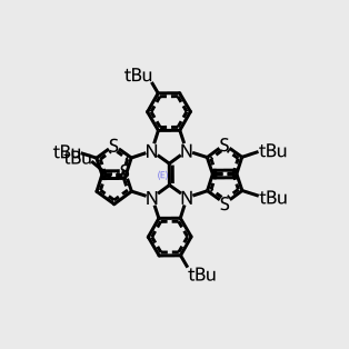 CC(C)(C)c1ccc2c(c1)N(c1ccc(C(C)(C)C)s1)/C(=C1\N(c3ccc(C(C)(C)C)s3)c3ccc(C(C)(C)C)cc3N1c1ccc(C(C)(C)C)s1)N2c1ccc(C(C)(C)C)s1